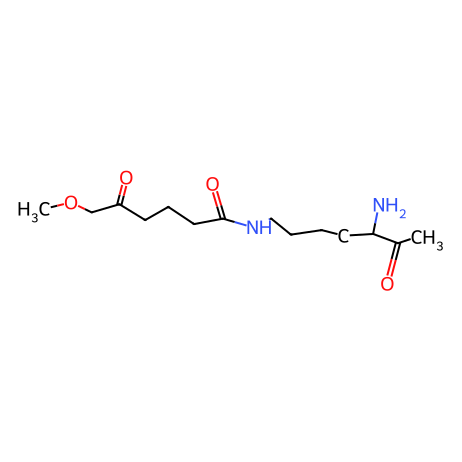 COCC(=O)CCCC(=O)NCCCCC(N)C(C)=O